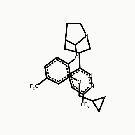 FC(F)(F)c1ccc(OC2C3CCN2CC(c2ccc(C(F)(F)F)nn2)C3)c(OCC2CC2)c1